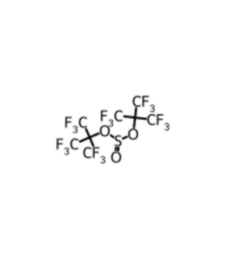 O=S(OC(C(F)(F)F)(C(F)(F)F)C(F)(F)F)OC(C(F)(F)F)(C(F)(F)F)C(F)(F)F